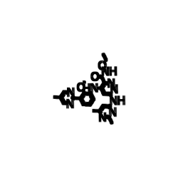 CCONC(=O)c1nnc(Nc2cc(C)nc(C)n2)cc1Nc1cccc(-c2ncc(C)cn2)c1OC